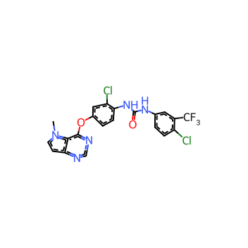 Cn1ccc2ncnc(Oc3ccc(NC(=O)Nc4ccc(Cl)c(C(F)(F)F)c4)c(Cl)c3)c21